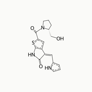 O=C1Nc2sc(C(=O)N3CCC[C@@H]3CO)cc2/C1=C/c1ccc[nH]1